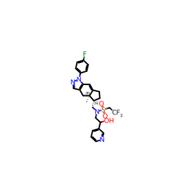 C[C@]12Cc3cnn(-c4ccc(F)cc4)c3C=C1CC[C@@H]2CN(CC(O)c1cccnc1)S(=O)(=O)CC(F)(F)F